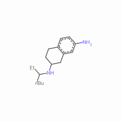 CCCCC(CC)NC1CCc2ccc(N)cc2C1